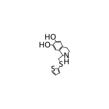 Oc1cc2c(cc1O)C(CSc1cccs1)NCC2